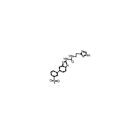 CS(=O)(=O)c1cccc(-c2ccc3nc(NC(=O)NCCc4nc[nH]n4)sc3c2)c1